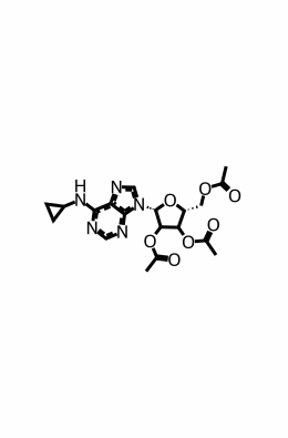 CC(=O)OC[C@H]1O[C@@H](n2cnc3c(NC4CC4)ncnc32)C(OC(C)=O)C1OC(C)=O